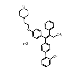 CCC(=C(c1ccc(OCCN2CCNCC2)cc1)c1ccc(-c2ccccc2O)cc1)c1ccccc1.Cl